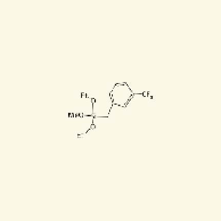 CCO[Si](Cc1cccc(C(F)(F)F)c1)(OC)OCC